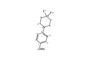 CSc1ccc(N2CCC(F)(F)CC2)nc1